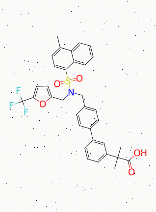 Cc1ccc(S(=O)(=O)N(Cc2ccc(-c3cccc(C(C)(C)C(=O)O)c3)cc2)Cc2ccc(C(F)(F)F)o2)c2ccccc12